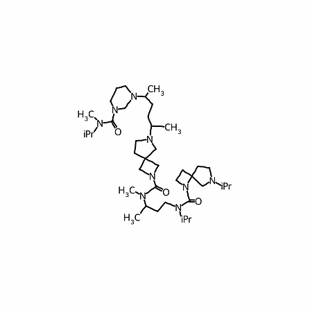 CC(C)N1CCC2(CCN2C(=O)N(CCC(C)N(C)C(=O)N2CC3(CCN(C(C)CCC(C)N4CCCN(C(=O)N(C)C(C)C)C4)C3)C2)C(C)C)C1